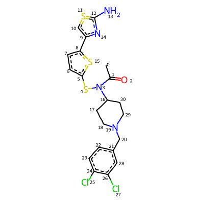 CC(=O)N(Sc1ccc(-c2csc(N)n2)s1)C1CCN(Cc2ccc(Cl)c(Cl)c2)CC1